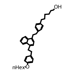 CCCCCCOc1ccc(CCc2ccc(CCc3ccc(CCCCCCO)cc3)c3ccccc23)cc1